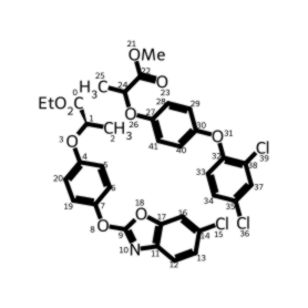 CCOC(=O)[C@@H](C)Oc1ccc(Oc2nc3ccc(Cl)cc3o2)cc1.COC(=O)C(C)Oc1ccc(Oc2ccc(Cl)cc2Cl)cc1